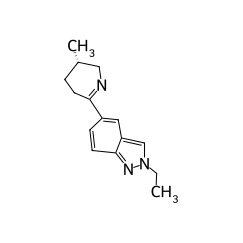 CCn1cc2cc(C3=NC[C@@H](C)CC3)ccc2n1